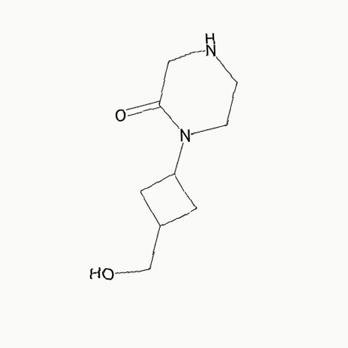 O=C1CNCCN1C1CC(CO)C1